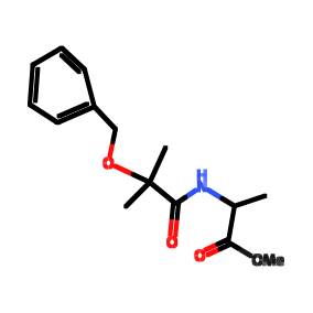 COC(=O)C(C)NC(=O)C(C)(C)OCc1ccccc1